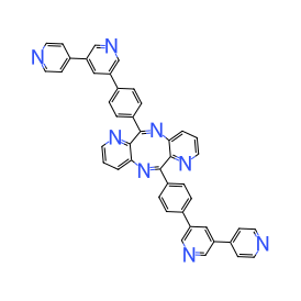 c1cnc2c(c1)/N=C(/c1ccc(-c3cncc(-c4ccncc4)c3)cc1)c1ncccc1/N=C\2c1ccc(-c2cncc(-c3ccncc3)c2)cc1